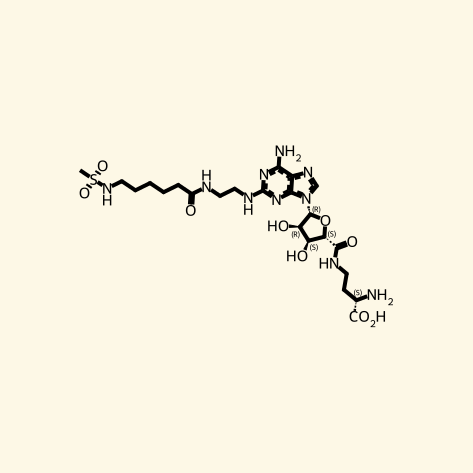 CS(=O)(=O)NCCCCCC(=O)NCCNc1nc(N)c2ncn([C@@H]3O[C@H](C(=O)NCC[C@H](N)C(=O)O)[C@@H](O)[C@H]3O)c2n1